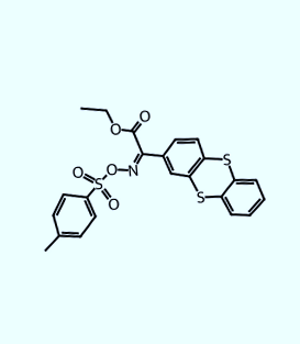 CCOC(=O)C(=NOS(=O)(=O)c1ccc(C)cc1)c1ccc2c(c1)Sc1ccccc1S2